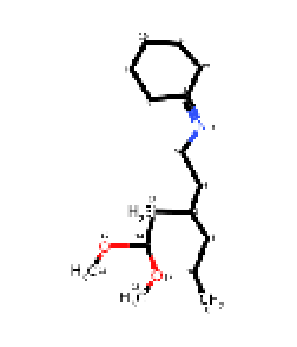 CCCC(CCN=C1CCCCC1)[SiH2]C(OC)OC